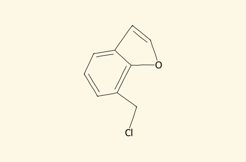 ClCc1cccc2ccoc12